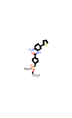 COP(=O)(Cc1ccc(C(=O)Nc2cc(-c3cccs3)ccc2N)cc1)OCC(=O)O